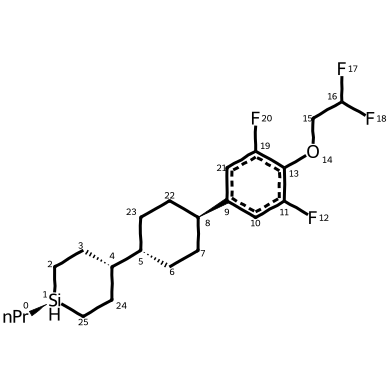 CCC[Si@H]1CC[C@H]([C@H]2CC[C@H](c3cc(F)c(OCC(F)F)c(F)c3)CC2)CC1